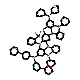 FC(F)(F)c1ccccc1N1c2cc3c(cc2B2c4ccccc4N(c4ccccc4)c4cc(N(c5ccc(-c6ccccc6)cc5)c5cccc(-c6ccccc6)c5)cc1c42)B1c2ccccc2N(c2ccccc2)c2cc(N(c4ccccc4)c4ccccc4)cc(c21)S3